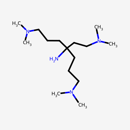 CN(C)CCCC(N)(CCCN(C)C)CCN(C)C